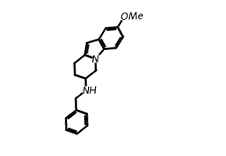 COc1ccc2c(c1)cc1n2CC(NCc2ccccc2)CC1